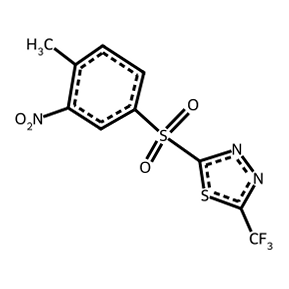 Cc1ccc(S(=O)(=O)c2nnc(C(F)(F)F)s2)cc1[N+](=O)[O-]